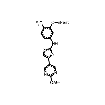 CCCCCOc1cc(Nc2nc(-c3cnc(OC)nc3)cs2)ccc1C(F)(F)F